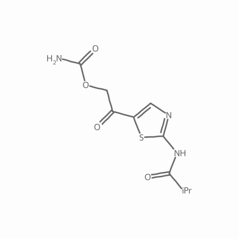 CC(C)C(=O)Nc1ncc(C(=O)COC(N)=O)s1